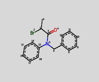 CC(Br)C(=O)N(Cc1ccccc1)c1ccccc1